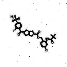 CC(C)(C)C(=O)Nc1cc(Cl)cnc1COC(=O)N1CC2=C(C1)CN(C(=O)c1ccc(S(N)(=O)=O)cc1F)C2